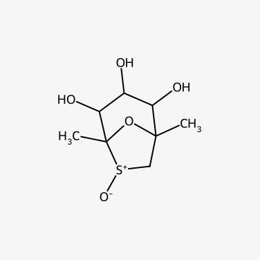 CC12C[S+]([O-])C(C)(O1)C(O)C(O)C2O